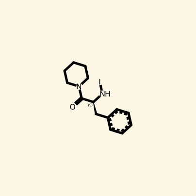 O=C([C@H](Cc1ccccc1)NI)N1CCCCC1